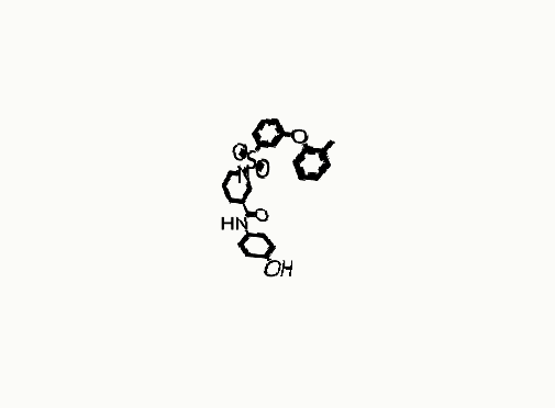 Cc1ccccc1Oc1cccc(S(=O)(=O)N2CCC[C@H](C(=O)N[C@H]3CC[C@H](O)CC3)C2)c1